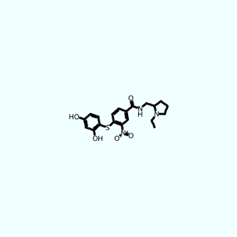 CCN1CCCC1CNC(=O)c1ccc(Sc2ccc(O)cc2O)c([N+](=O)[O-])c1